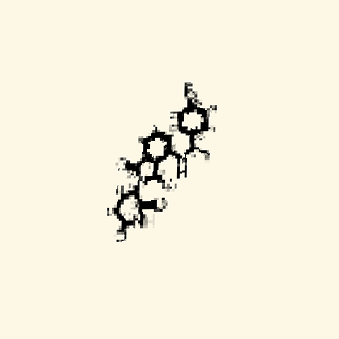 C[C@@H](Nc1cccc2c1C(=O)N(C1CCC(=O)NC1=O)C2=O)c1ccc(F)cc1